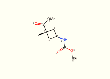 COC(=O)[C@]1(C)C[C@@H](NC(=O)OC(C)(C)C)C1